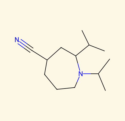 CC(C)C1CC(C#N)CCCN1C(C)C